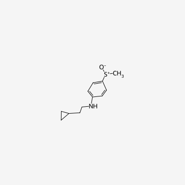 C[S+]([O-])c1ccc(NCCC2CC2)cc1